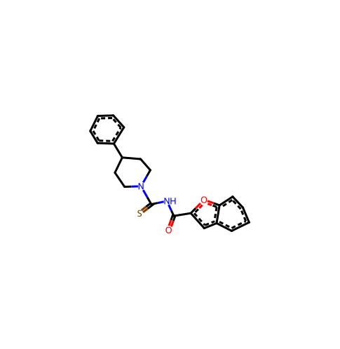 O=C(NC(=S)N1CCC(c2ccccc2)CC1)c1cc2ccccc2o1